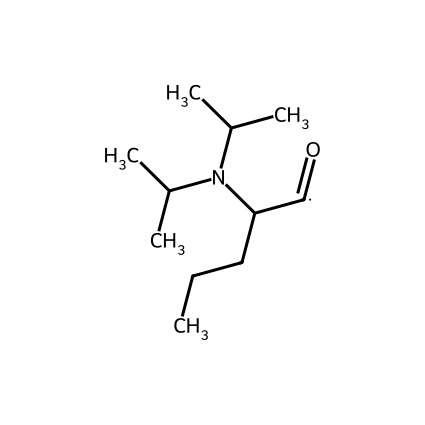 CCCC([C]=O)N(C(C)C)C(C)C